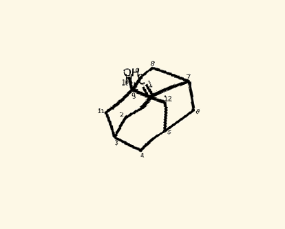 C=C1CC2CC3CC1CC(O)(C2)C3